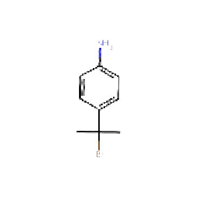 CC(C)(Br)c1ccc(N)cc1